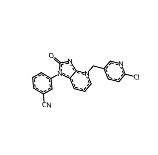 N#Cc1cccc(-n2c3cccn(Cc4ccc(Cl)nc4)c-3nc2=O)c1